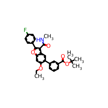 CCOc1cc2oc(-c3ccc(F)cc3)c(C(=O)NC)c2cc1-c1cccc(C(=O)OC(C)(C)C)c1